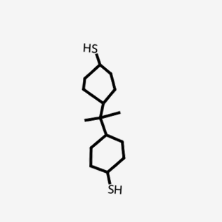 CC(C)(C1CCC(S)CC1)C1CCC(S)CC1